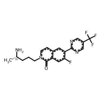 C[C@H](N)CCCn1ccc2cc(-c3ncc(C(F)(F)F)cn3)c(F)cc2c1=O